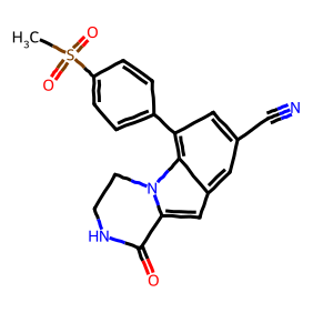 CS(=O)(=O)c1ccc(-c2cc(C#N)cc3cc4n(c23)CCNC4=O)cc1